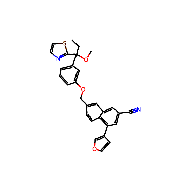 CCC(OC)(c1cccc(OCc2ccc3c(-c4ccoc4)cc(C#N)cc3c2)c1)c1nccs1